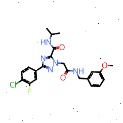 COc1cccc(CNC(=O)Cn2nc(-c3ccc(Cl)c(F)c3)nc2C(=O)NC(C)C)c1